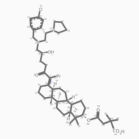 CC(C)/C(C(=O)CC[C@H](O)CN(CCN1CCCC1)Cc1ccc(Cl)cc1)=C1/CCC[C@]2(C)[C@@H]1CC[C@@H]1[C@@]3(C)CC[C@H](OC(=O)CC(C)(C)C(=O)O)C(C)(C)[C@@H]3CC[C@]12C